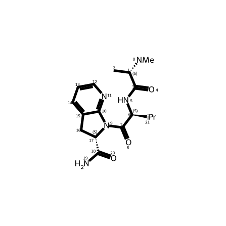 CN[C@@H](C)C(=O)N[C@H](C(=O)N1c2ncccc2C[C@H]1C(N)=O)C(C)C